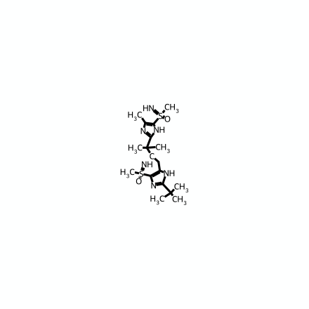 Cc1nc(C(C)(C)CCc2[nH]c(C(C)(C)C)nc2S(C)(=N)=O)[nH]c1S(C)(=N)=O